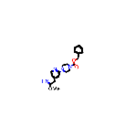 COC(=N)Cc1ccnc(N2CCN(C(=O)OCc3ccccc3)CC2)c1